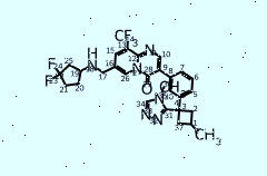 CC1CC(c2cccc(-c3cnc4c(C(F)(F)F)cc(CNC5CCC(F)(F)C5)cn4c3=O)c2)(c2nncn2C)C1